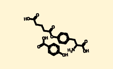 NC(Cc1ccc(OC(=O)CCCC(=O)O)cc1)C(=O)O.O=C(O)c1ccc(O)cc1